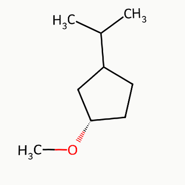 CO[C@H]1CCC(C(C)C)C1